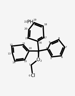 ClCOC(c1ccccc1)(c1ccccc1)c1ccccc1.P